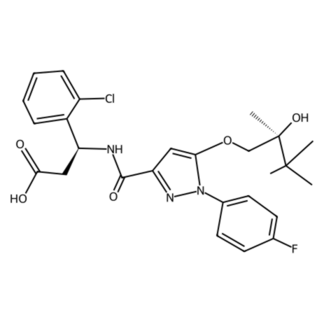 CC(C)(C)[C@](C)(O)COc1cc(C(=O)N[C@@H](CC(=O)O)c2ccccc2Cl)nn1-c1ccc(F)cc1